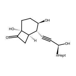 CCCCCCC[C@H](O)C#C[C@H]1[C@H](O)CC[C@]2(O)C(=O)C[C@H]12